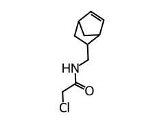 O=C(CCl)NCC1CC2C=CC1C2